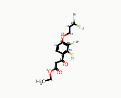 CCOC(=O)CC(=O)c1ccc(OCCC(F)F)c(F)c1F